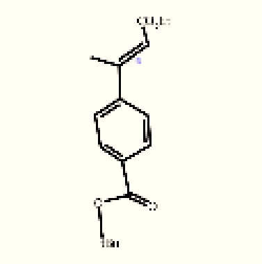 CCOC(=O)/C=C(\C)c1ccc(C(=O)OC(C)(C)C)cc1